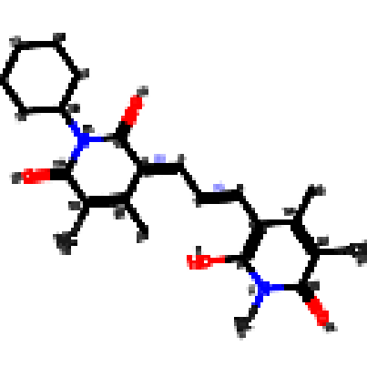 CCn1c(O)c(/C=C/C=C2/C(=O)N(C3CCCCC3)C(=O)C(C#N)=C2C)c(C)c(C#N)c1=O